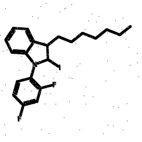 CCCCCCCC1c2ccccc2N(c2ccc(F)cc2F)C1I